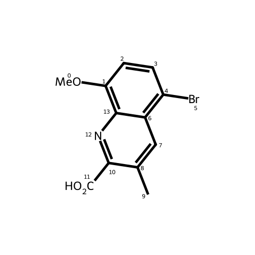 COc1ccc(Br)c2cc(C)c(C(=O)O)nc12